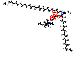 CCCCCCCCCCCCCCCCCCCCOCC(CN(C)C(=O)CCCCCCCCCCCCCCC)OP(=O)([O-])OCC[N+](C)(C)C